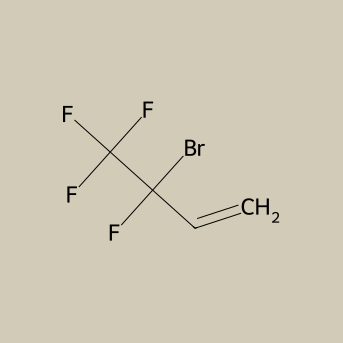 C=CC(F)(Br)C(F)(F)F